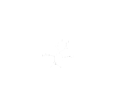 CCCCC(N(C)C)[Si](OCC)(OCC)OCC